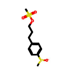 C[S+]([O-])c1ccc(CCCOS(C)(=O)=O)cc1